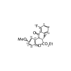 CCOC(=O)CC(C(=O)c1c(F)cccc1F)c1cc(OC)ccc1Cl